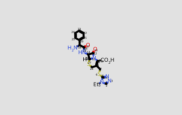 CCn1cnnc1SCC1=C(C(=O)O)N2C(=O)C(NC(=O)C(N)c3ccccc3)[C@@H]2SC1